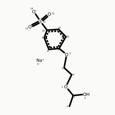 CC(O)OCCOc1ccc(S(=O)(=O)[O-])cc1.[Na+]